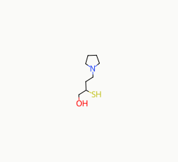 OCC(S)CCN1CCCC1